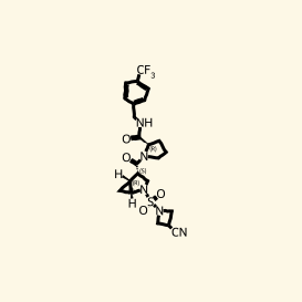 N#CC1CN(S(=O)(=O)N2C[C@@H](C(=O)N3CCC[C@@H]3C(=O)NCc3ccc(C(F)(F)F)cc3)[C@H]3C[C@H]32)C1